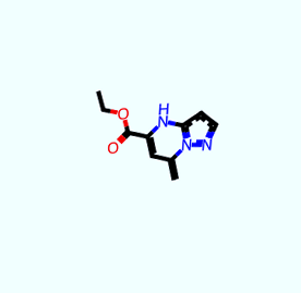 C=C1C=C(C(=O)OCC)Nc2ccnn21